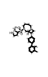 Cc1cccc(-c2ccc([C@@H]3CN4CCCCN(S(=O)(=O)C5CCNN5C(C)C)C[C@@H]34)cc2)c1C